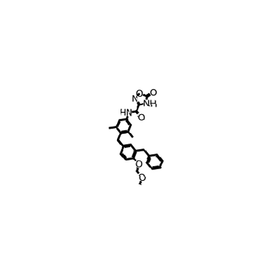 COCOc1ccc(Cc2c(C)cc(NC(=O)c3noc(=O)[nH]3)cc2C)cc1Cc1ccccc1